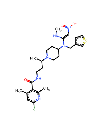 CN/C(=C\[N+](=O)[O-])N(Cc1ccsc1)C1CCN([C@H](C)CCNC(=O)c2c(C)cc(Cl)nc2C)CC1